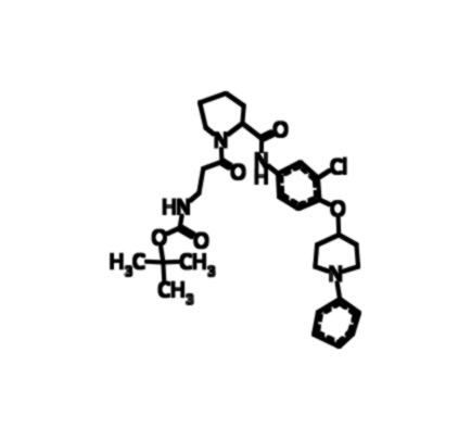 CC(C)(C)OC(=O)NCCC(=O)N1CCCCC1C(=O)Nc1ccc(OC2CCN(c3ccccc3)CC2)c(Cl)c1